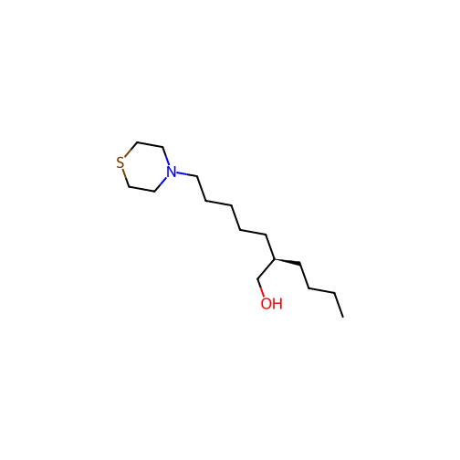 CCCC[C@@H](CO)CCCCCN1CCSCC1